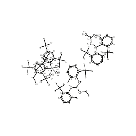 CCOP(Oc1c(C)cccc1C(C)(C)C)Oc1c(C)cccc1C(C)(C)C.CCc1c(C(C)(C)C)cc(C(C)(C)C)c(P(O)(O)(O)c2c(C(C)(C)C)cc(C(C)(C)C)cc2C(C)(C)C)c1C(C)(C)C.Cc1cccc(C(C)(C)C)c1C(OP(O)O)c1c(C)cccc1C(C)(C)C